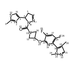 Cc1nc(C2CC=NN2C(=O)N2CC(Oc3nc(-c4c(C)cnn4C)c(F)cc3F)C2)cs1